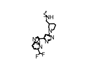 CSNCC1CCCN(c2cc(-c3cnc4ccc(C(F)F)nn34)ncn2)C1